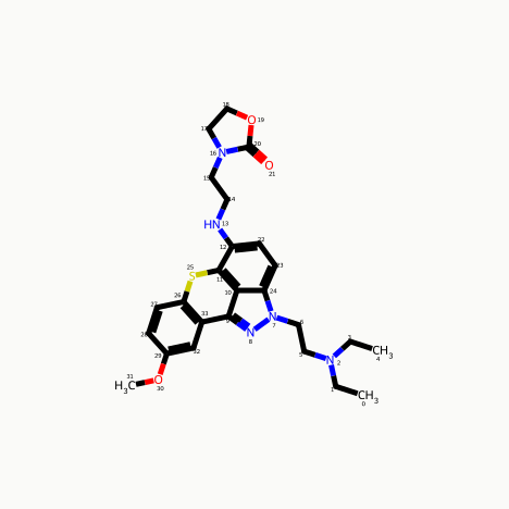 CCN(CC)CCn1nc2c3c(c(NCCN4CCOC4=O)ccc31)Sc1ccc(OC)cc1-2